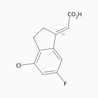 O=C(O)/C=C1\CCc2c(Cl)cc(F)cc21